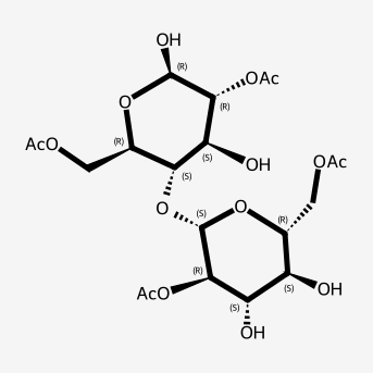 CC(=O)OC[C@H]1O[C@@H](O[C@H]2[C@H](O)[C@@H](OC(C)=O)[C@H](O)O[C@@H]2COC(C)=O)[C@H](OC(C)=O)[C@@H](O)[C@@H]1O